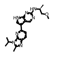 COC[C@H](C)Nc1ncc2c(-c3ccc4nc(C)n(C(C)C)c4n3)c[nH]c2n1